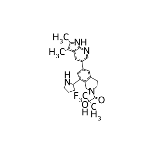 Cc1[nH]c2ncc(-c3cc4c(c(C5CCCN5)c3)CN(C(=O)C(C)(O)C(F)(F)F)CC4)cc2c1C